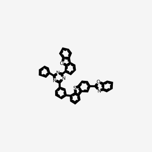 c1ccc(-c2nc(-c3cccc(-c4cccc5c4sc4ccc(-c6nc7ccccc7o6)cc45)c3)nc(-c3cccc4c3oc3ccccc34)n2)cc1